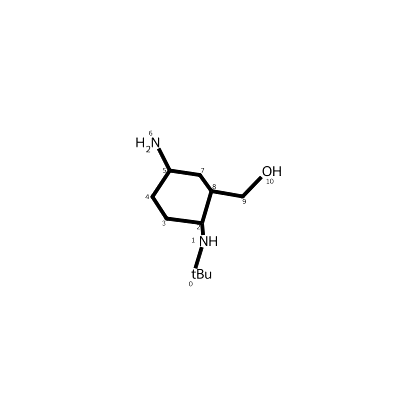 CC(C)(C)NC1CCC(N)CC1CO